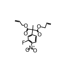 C=CCOC(=O)C(C)(C(=O)OCC=C)c1ccc([N+](=O)[O-])c(F)c1